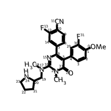 COc1ccc(-c2c(-c3ccc(C#N)c(F)c3)nc(N(C)CC3CCCN3)n(C)c2=O)cc1F